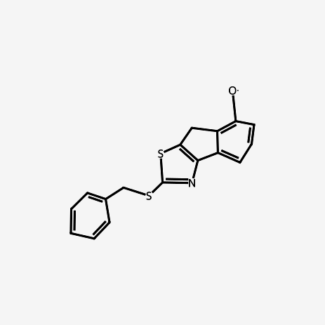 [O]c1cccc2c1Cc1sc(SCc3ccccc3)nc1-2